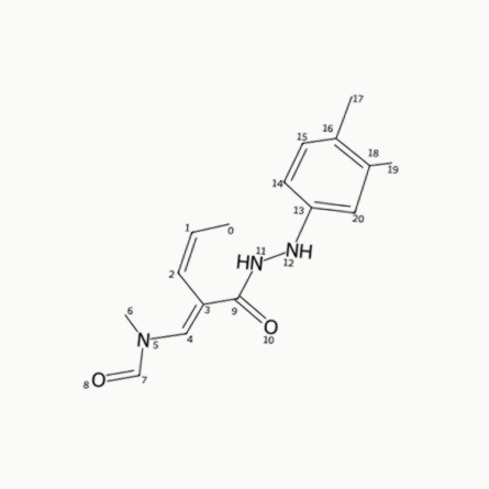 C/C=C\C(=C/N(C)C=O)C(=O)NNc1ccc(C)c(C)c1